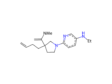 C=CCCC1(C(=C)NC)CCN(c2ccc(NCC)cn2)C1